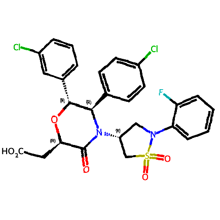 O=C(O)C[C@H]1O[C@H](c2cccc(Cl)c2)[C@@H](c2ccc(Cl)cc2)N([C@@H]2CN(c3ccccc3F)S(=O)(=O)C2)C1=O